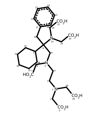 O=C(O)CN(CCN(CC(=O)O)CC(Cc1ccccc1)(C1CCCCC1)N(CC(=O)O)CC(=O)O)CC(=O)O